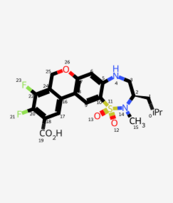 CC(C)C[C@@H]1CNc2cc3c(cc2S(=O)(=O)N1C)-c1cc(C(=O)O)c(F)c(F)c1CO3